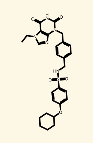 CCn1cnc2c1c(=O)[nH]c(=O)n2Cc1ccc(CNS(=O)(=O)c2ccc(OC3CCCCC3)cc2)cc1